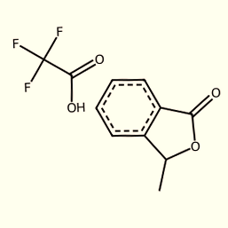 CC1OC(=O)c2ccccc21.O=C(O)C(F)(F)F